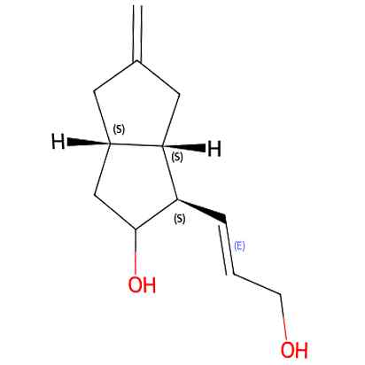 C=C1C[C@H]2CC(O)[C@H](/C=C/CO)[C@H]2C1